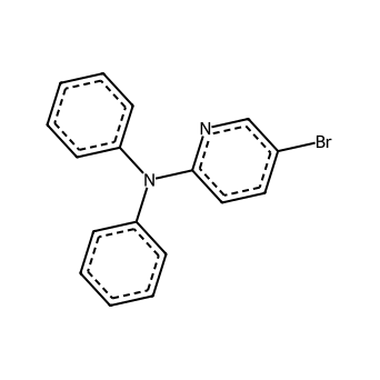 Brc1ccc(N(c2ccccc2)c2ccccc2)nc1